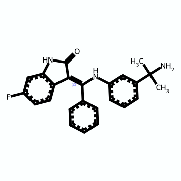 CC(C)(N)c1cccc(N/C(=C2\C(=O)Nc3cc(F)ccc32)c2ccccc2)c1